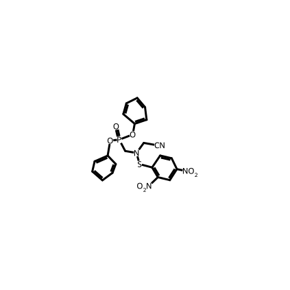 N#CCN(CP(=O)(Oc1ccccc1)Oc1ccccc1)Sc1ccc([N+](=O)[O-])cc1[N+](=O)[O-]